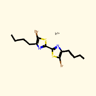 CCCCc1nc(-c2nc(CCCC)c(Br)s2)sc1Br.[Ir+3]